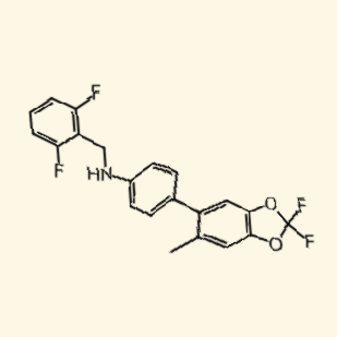 Cc1cc2c(cc1-c1ccc(NCc3c(F)cccc3F)cc1)OC(F)(F)O2